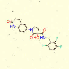 O=C1CCc2cc(N3CC[C@](O)(C(=O)NCc4c(F)ccc(F)c4F)C3=O)ccc2N1